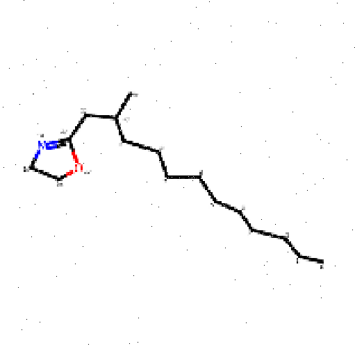 CCCCCCCCCCC(C)CC1=NCCO1